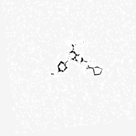 COc1ccc(-n2nc(C(=O)O)c3sc(NC(=O)C4CCCC4)nc32)cc1